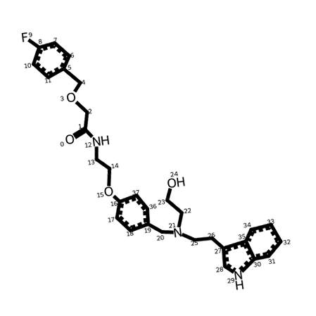 O=C(COCc1ccc(F)cc1)NCCOc1ccc(CN(CCO)CCc2c[nH]c3ccccc23)cc1